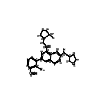 COc1cccc(-c2cc3cnc(NC4CCOC4)nc3c(NCC3CCCN3C)n2)c1F